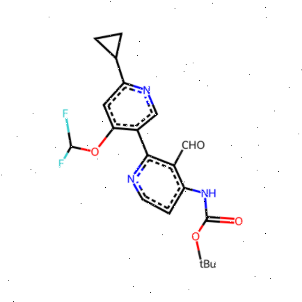 CC(C)(C)OC(=O)Nc1ccnc(-c2cnc(C3CC3)cc2OC(F)F)c1C=O